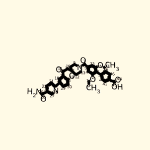 CCOc1cc(C(=O)N2CCC3(CC2)CC(=O)c2cc(-c4ccc(C(N)=O)cn4)ccc2O3)cc(OCC)c1-c1ccc(C(=O)O)cc1